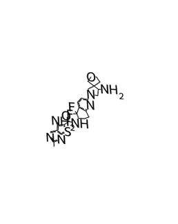 Cc1ncc2c(N)c(C(=O)NC3CCc4nc(N5CC(N)C6(CCOC6)C5)ccc4C3(F)F)sc2n1